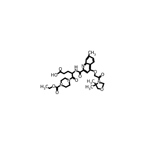 CCOC(=O)N1CCN(C(=O)C(CCC(=O)O)NC(=O)c2cc(OCC(=O)N3COCC3(C)C)c3ccc(C)cc3n2)CC1